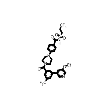 CCOc1cncc(-c2cc(C(=O)N3CCN(c4ccc(C(=O)NS(=O)(=O)CCC(F)(F)F)cc4)CC3)cc(C(F)(F)F)c2)c1